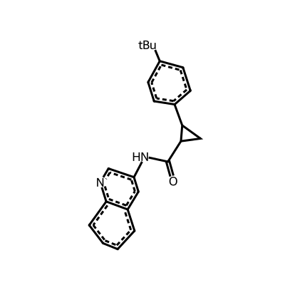 CC(C)(C)c1ccc(C2CC2C(=O)Nc2cnc3ccccc3c2)cc1